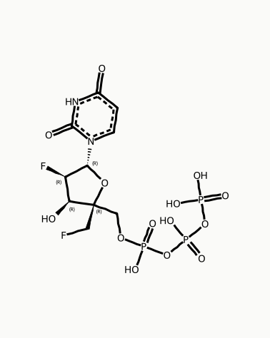 O=c1ccn([C@@H]2O[C@](CF)(COP(=O)(O)OP(=O)(O)OP(=O)(O)O)[C@@H](O)[C@H]2F)c(=O)[nH]1